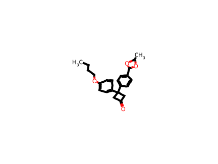 CCCCOc1ccc(C2(c3ccc(C4OC(C)O4)cc3)CC(=O)C2)cc1